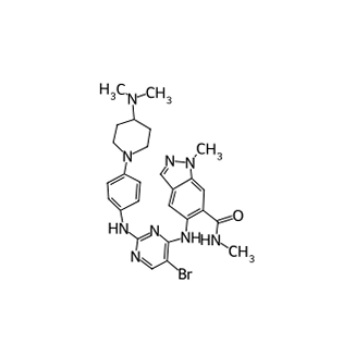 CNC(=O)c1cc2c(cnn2C)cc1Nc1nc(Nc2ccc(N3CCC(N(C)C)CC3)cc2)ncc1Br